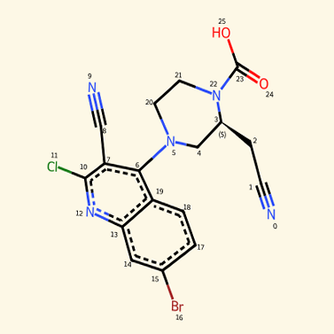 N#CC[C@H]1CN(c2c(C#N)c(Cl)nc3cc(Br)ccc23)CCN1C(=O)O